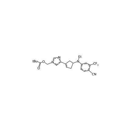 CCN(c1ccc(C#N)c(C(F)(F)F)c1)C1CC=C(c2cn(COC(=O)C(C)(C)C)cn2)C1